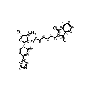 CC[C@H]1O[C@@H](n2ccc(-n3cncn3)nc2=O)[C@@H](OCCCCCCN2C(=O)c3ccccc3C2=O)C1C